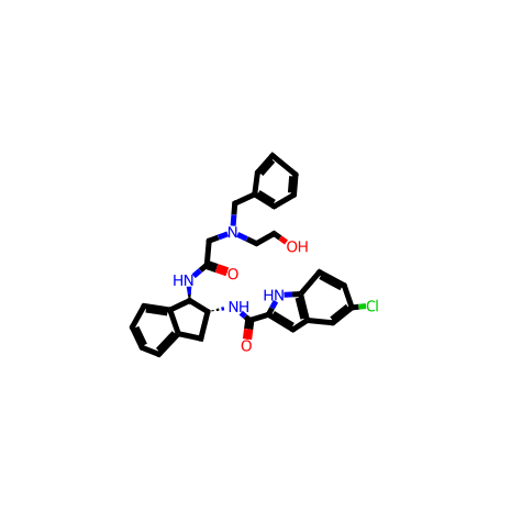 O=C(CN(CCO)Cc1ccccc1)N[C@@H]1c2ccccc2C[C@H]1NC(=O)c1cc2cc(Cl)ccc2[nH]1